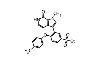 CCS(=O)(=O)c1ccc(Oc2ccc(C(F)(F)F)cc2)c(-c2cn(C)c3c(=O)[nH]ccc23)c1